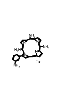 Nc1cccc(-c2cc3cc4nc(c(N)c5ccc([nH]5)c(N)c5nc(c(N)c2[nH]3)C=C5)C=C4)c1.[Cu]